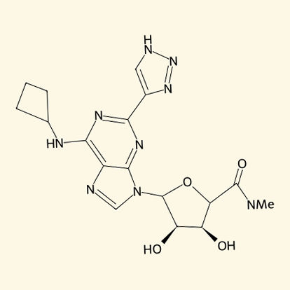 CNC(=O)C1OC(n2cnc3c(NC4CCC4)nc(-c4c[nH]nn4)nc32)[C@H](O)[C@@H]1O